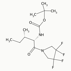 CC[C@H](C)[C@H](NC(=O)OC(C)(C)C)C(=O)N1CC(F)(F)C(F)(F)C1